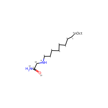 CCCCCCCCCCCCCCCCNCC(N)=O